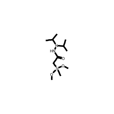 CO[Si](C)(CC(=O)NN(C(C)C)C(C)C)OC